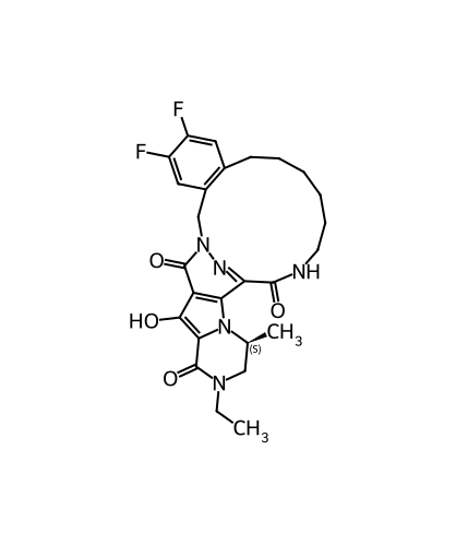 CCN1C[C@H](C)n2c(c(O)c3c(=O)n4nc(c32)C(=O)NCCCCCCc2cc(F)c(F)cc2C4)C1=O